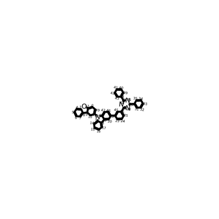 C1=C2Oc3ccccc3C2CC(n2c3ccccc3c3cc(-c4cccc(-c5nc(-c6ccccc6)nc(-c6ccccc6)n5)c4)ccc32)=C1